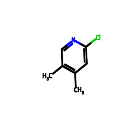 Cc1cnc(Cl)cc1C